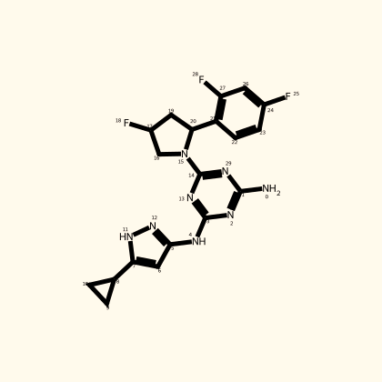 Nc1nc(Nc2cc(C3CC3)[nH]n2)nc(N2CC(F)CC2c2ccc(F)cc2F)n1